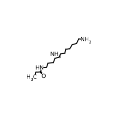 CCC(=O)NCCCCCCCCCCCCN.N